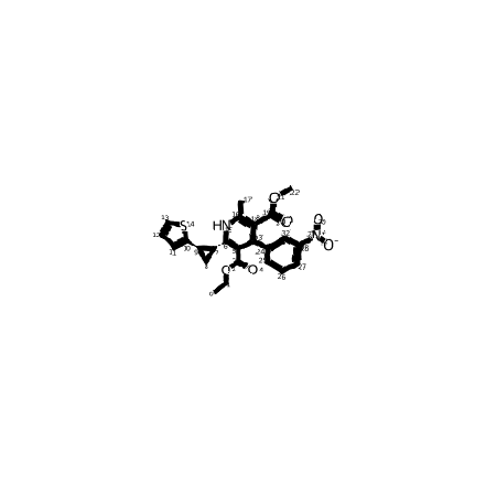 CCOC(=O)C1=C([C@@H]2C[C@H]2c2cccs2)NC(C)=C(C(=O)OC)C1c1cccc([N+](=O)[O-])c1